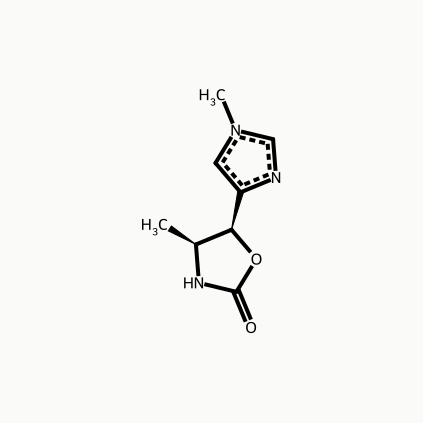 C[C@@H]1NC(=O)O[C@@H]1c1cn(C)cn1